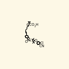 CC1(C)[C@H](CN2Cc3cc(C#CCCCCOC4(C(=O)O)CC4)ccc3C2=O)C(C)(C)[C@H]1Oc1ccc(C#N)c(Cl)c1